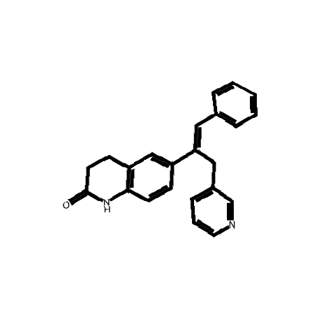 O=C1CCc2cc(C(=Cc3ccccc3)Cc3cccnc3)ccc2N1